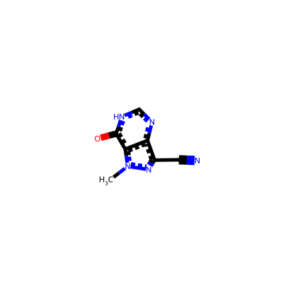 Cn1nc(C#N)c2nc[nH]c(=O)c21